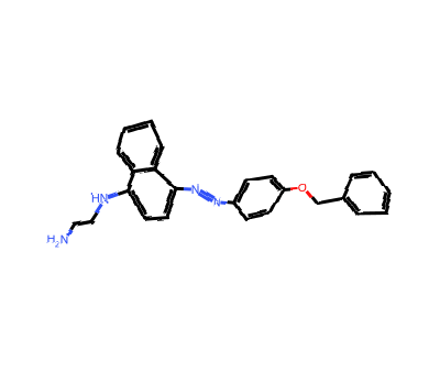 NCCNc1ccc(N=Nc2ccc(OCc3ccccc3)cc2)c2ccccc12